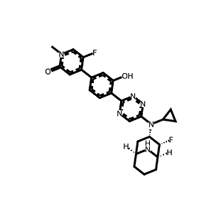 Cn1cc(F)c(-c2ccc(-c3ncc(N(C4CC4)[C@H]4C[C@@H]5CCC[C@@H](N5)[C@H]4F)nn3)c(O)c2)cc1=O